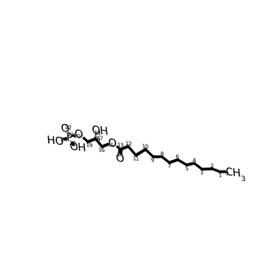 CCCCCCCCCCCCCC(=O)OC[C@@H](O)COP(=O)(O)O